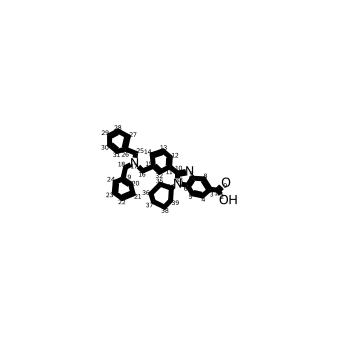 O=C(O)c1ccc2c(c1)nc(-c1cccc(CN(Cc3ccccc3)Cc3ccccc3)c1)n2C1CCCCC1